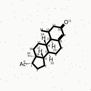 CC(=O)[C@H]1CC[C@H]2[C@@H]3CCC4=CC(=O)CC(C)[C@@H]4[C@H]3CC[C@]12C